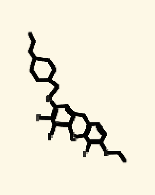 CCCC1CCC(COc2cc3c(c(F)c2F)Oc2c(ccc(SCC)c2F)C3)CC1